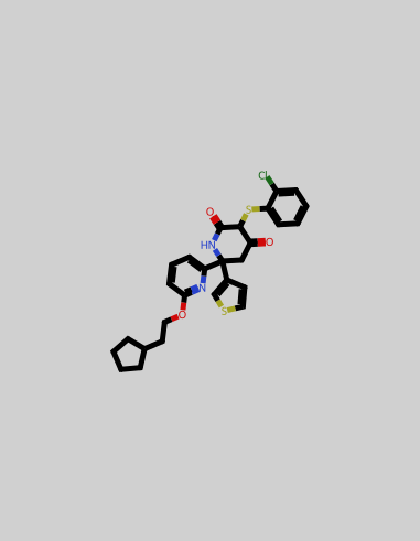 O=C1CC(c2ccsc2)(c2cccc(OCCC3CCCC3)n2)NC(=O)C1Sc1ccccc1Cl